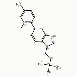 Cc1ccc(-c2ccc3c(c2)ncn3CCC(C)(C)O)c(F)c1